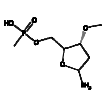 BC1C[C@@H](OC)C(COP(C)(=O)O)O1